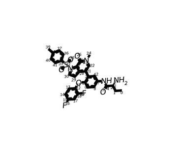 CC[C@H](N)C(=O)Nc1ccc(Oc2ccc(F)cc2F)c(-c2cn(C)c(=O)c3c2ccn3S(=O)(=O)c2ccc(C)cc2)c1